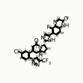 O=C1C=C(c2cc(Cl)ccc2-n2cc(C(F)(F)F)nn2)C[C@H]2CC[C@@H](c3ncc(-c4ccc5[nH]c(=O)cnc5c4F)[nH]3)N12